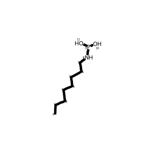 CCCCCCCCNP(O)O